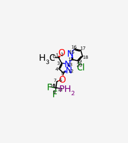 CC(=O)c1cc(OCC(F)(F)P)nn1-c1ncccc1Cl